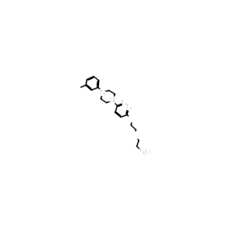 Cc1cccc(N2CCN(c3ccc(OCCOCCN)nn3)CC2)c1